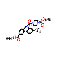 COC(=O)c1ccc(CN(C(=O)N2CCN(C(=O)OC(C)(C)C)CC2)c2cccc(C(F)(F)F)c2)cc1